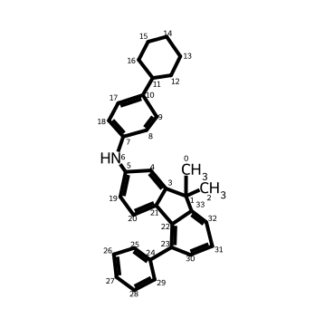 CC1(C)c2cc(Nc3ccc(C4CCCCC4)cc3)ccc2-c2c(-c3ccccc3)cccc21